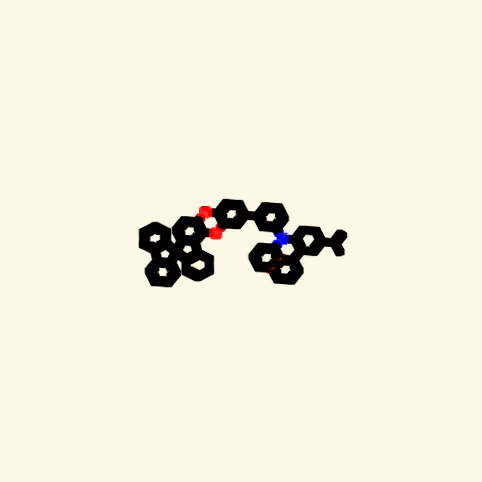 C=C(C)C1=CC(c2ccccc2)=C(N(c2ccccc2)c2cccc(-c3ccc4c(c3)Oc3c(ccc5c3C3=C(C=CCC3)C53c5ccccc5-c5ccccc53)O4)c2)CC1